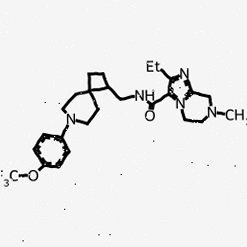 CCc1nc2n(c1C(=O)NCC1CCC13CCN(c1ccc(OC(F)(F)F)cc1)CC3)CCN(C)C2